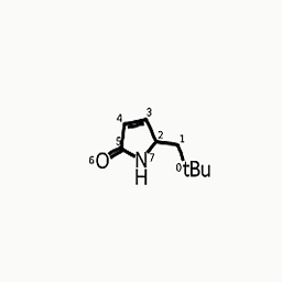 CC(C)(C)CC1C=CC(=O)N1